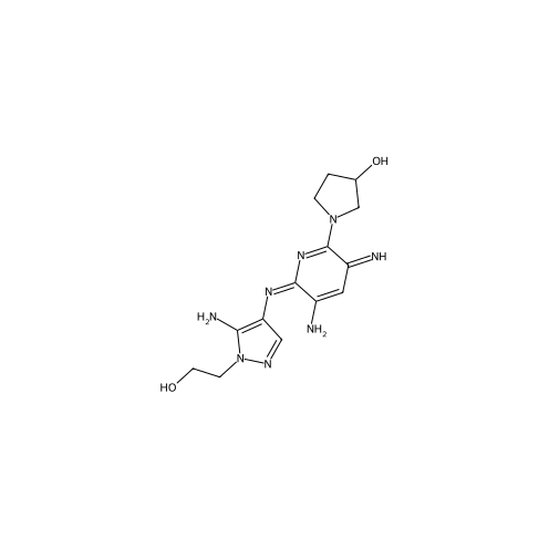 N=C1C=C(N)/C(=N\c2cnn(CCO)c2N)N=C1N1CCC(O)C1